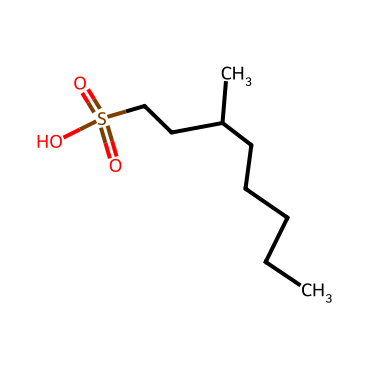 CCCCCC(C)CCS(=O)(=O)O